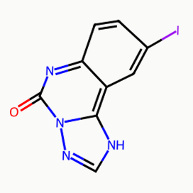 O=c1nc2ccc(I)cc2c2[nH]cnn12